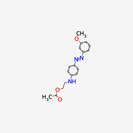 COc1cccc(/N=N/c2ccc(NCCOC(C)=O)cc2)c1